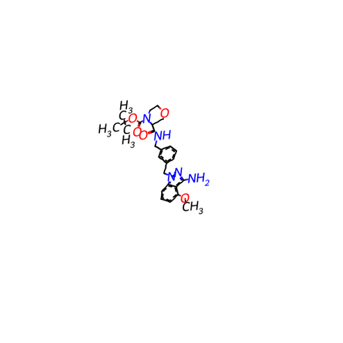 COc1cccc2c1c(N)nn2Cc1cccc(CNC(=O)C2COCCN2C(=O)OC(C)(C)C)c1